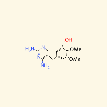 COc1cc(Cc2cnc(N)nc2N)cc(CO)c1OC